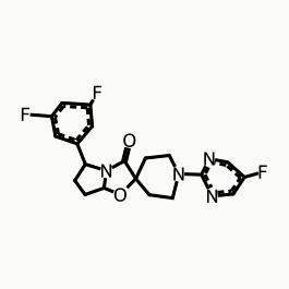 O=C1N2C(CCC2c2cc(F)cc(F)c2)OC12CCN(c1ncc(F)cn1)CC2